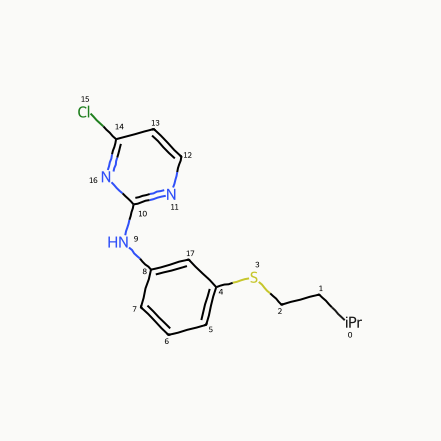 CC(C)CCSc1cccc(Nc2nccc(Cl)n2)c1